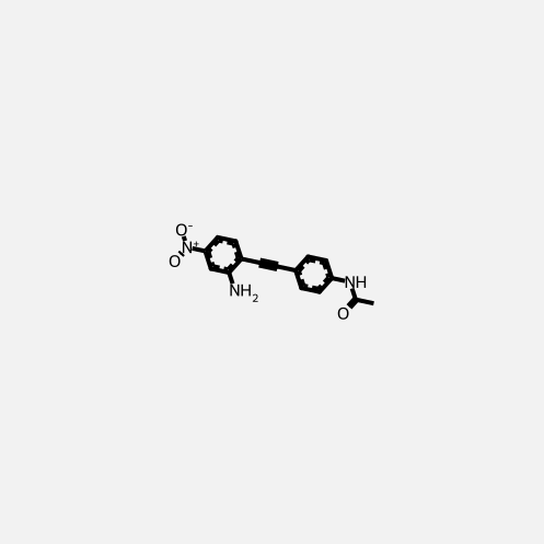 CC(=O)Nc1ccc(C#Cc2ccc([N+](=O)[O-])cc2N)cc1